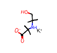 CC(C)(CO)NC(C)(C)C(=O)[O-].[K+]